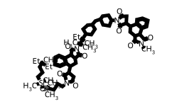 CCC(C)(CC)CCC[Si](C)(C)O[Si](C)(C)CCCN1C(=O)CC(C2CC3C(=O)N(C(C)(C)C(C)(CC)C4CCC(CC5CCC(N6C(=O)CC(C7CC8C(=O)N(C)C(=O)C8c8ccccc87)C6=O)CC5)CC4)C(=O)C3c3ccccc32)C1=O